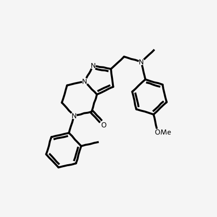 COc1ccc(N(C)Cc2cc3n(n2)CCN(c2ccccc2C)C3=O)cc1